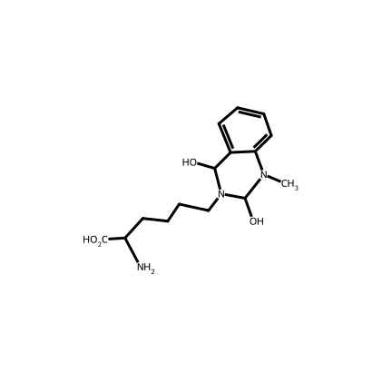 CN1c2ccccc2C(O)N(CCCCC(N)C(=O)O)C1O